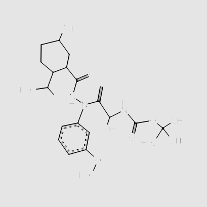 COc1cccc(N(NC(=O)C2CC(C)CCC2C(C)C)C(=O)C(C)NC(=O)OC(C)(C)C)c1